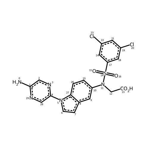 Nc1cnc(-n2ccc3cc(N(CC(=O)O)S(=O)(=O)c4cc(Cl)cc(Cl)c4)ccc32)cn1